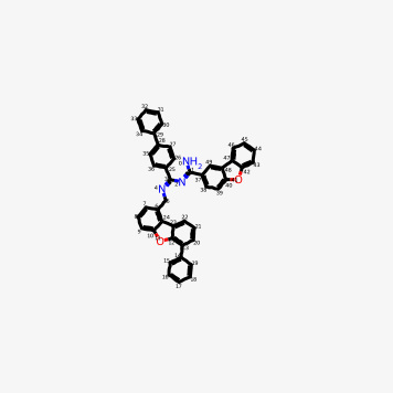 N/C(=N\C(=N/Cc1cccc2oc3c(-c4ccccc4)cccc3c12)c1ccc(-c2ccccc2)cc1)c1ccc2oc3ccccc3c2c1